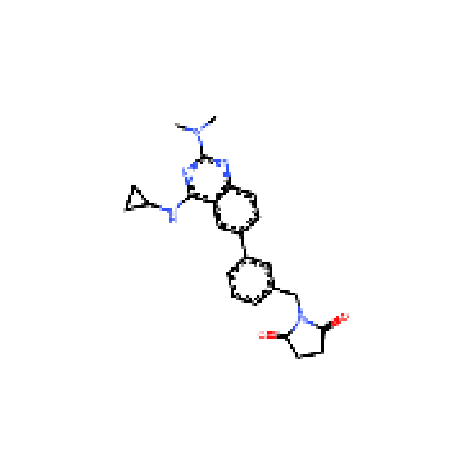 CN(C)c1nc(NC2CC2)c2cc(-c3cccc(CN4C(=O)CCC4=O)c3)ccc2n1